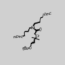 CCCCCCCCCCCCCCN(CCCCCCCCCCCCCC)C(=O)COC(C)(C)CCOC(C)(C)C